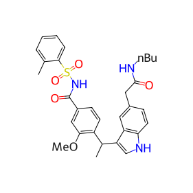 CCCCNC(=O)Cc1ccc2[nH]cc(C(C)c3ccc(C(=O)NS(=O)(=O)c4ccccc4C)cc3OC)c2c1